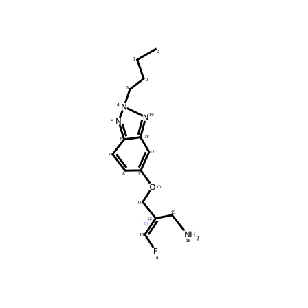 CCCCn1nc2ccc(OC/C(=C/F)CN)cc2n1